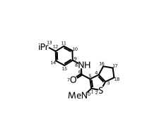 CNc1sc2c(c1C(=O)Nc1ccc(C(C)C)cc1)CCC2